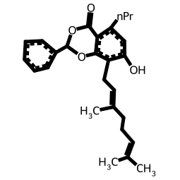 CCCc1cc(O)c(C/C=C(\C)CCC=C(C)C)c2c1C(=O)OC(c1ccccc1)O2